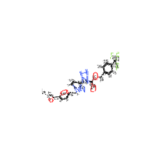 CC(=O)c1ccc(Cn2ccc(NC(=O)OCc3ccc(C(F)(F)F)cc3)n2)o1